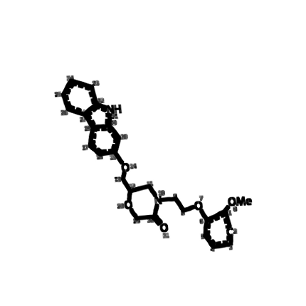 COc1ccccc1OCCN1CC(COc2ccc3c(c2)[nH]c2ccccc23)OCC1=O